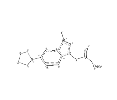 COC(=O)Cc1cn(C)c2cc(N3CCCC3)ccc12